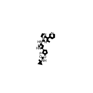 Cc1nc(Nc2cc([C@H]3CC[C@@H](OC(=O)NC4(C)CC4)[C@@H]3F)[nH]n2)n2ccnc2c1-c1cccnc1